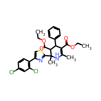 CCOC(=O)C1=C(C)NC(C)(c2nc(-c3ccc(Cl)cc3Cl)cs2)C(C(=O)OCC)C1c1ccccc1